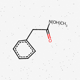 CN(O)C(=O)Cc1ccccc1